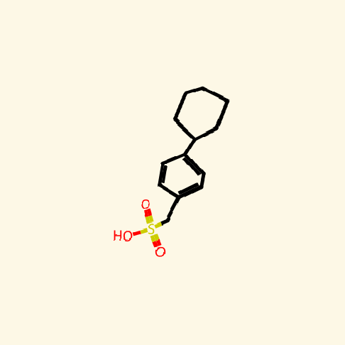 O=S(=O)(O)Cc1ccc(C2CCCCC2)cc1